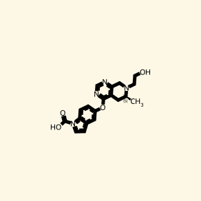 C[C@H]1Cc2c(ncnc2Oc2ccc3c(ccn3C(=O)O)c2)CN1CCO